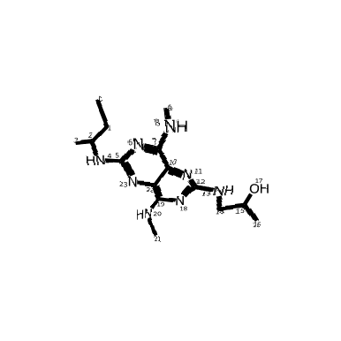 CCC(C)Nc1nc(NC)c2nc(NCC(C)O)nc(NC)c2n1